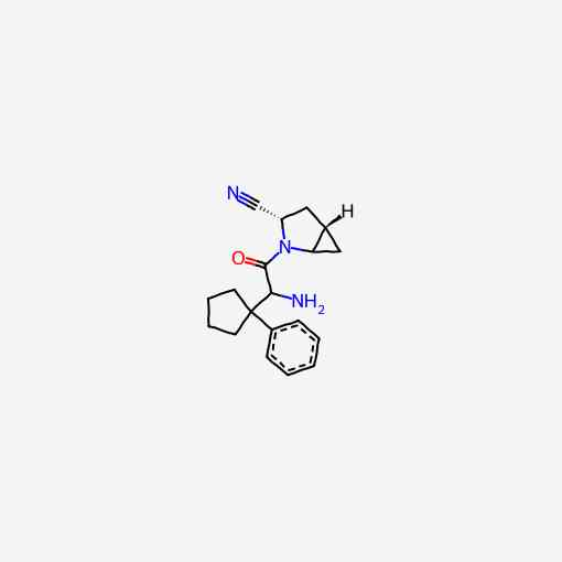 N#C[C@@H]1C[C@@H]2CC2N1C(=O)C(N)C1(c2ccccc2)CCCC1